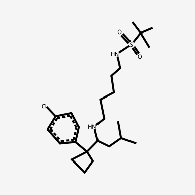 CC(C)CC(NCCCCCNS(=O)(=O)C(C)(C)C)C1(c2ccc(Cl)cc2)CCC1